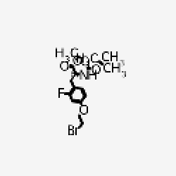 COC(=O)[C@H](Cc1ccc(OCCBr)cc1F)NC(=O)OC(C)(C)C